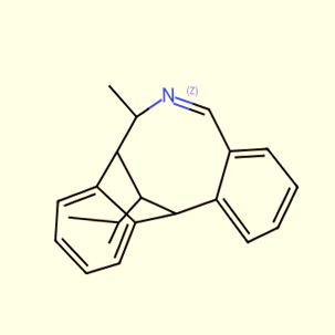 CC(C)C1C2c3ccccc3/C=N\C(C)C1c1ccccc12